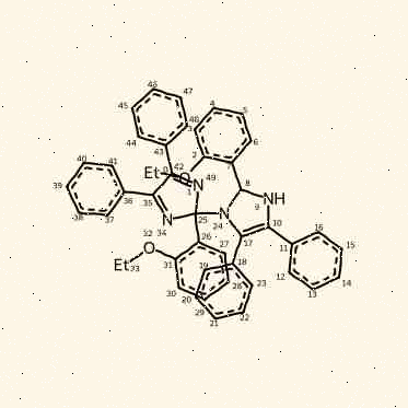 CCOc1ccccc1C1NC(c2ccccc2)=C(c2ccccc2)N1C1(c2ccccc2OCC)N=C(c2ccccc2)C(c2ccccc2)=N1